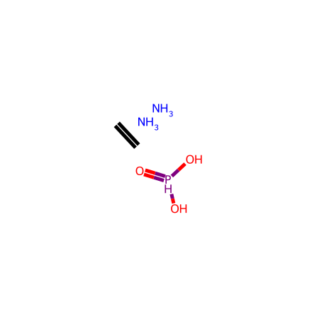 C=C.N.N.O=[PH](O)O